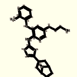 CC(=O)N1C2CCC1CC(c1nsc(Nc3ncc(SCCO)cc3Oc3cccnc3C)n1)C2